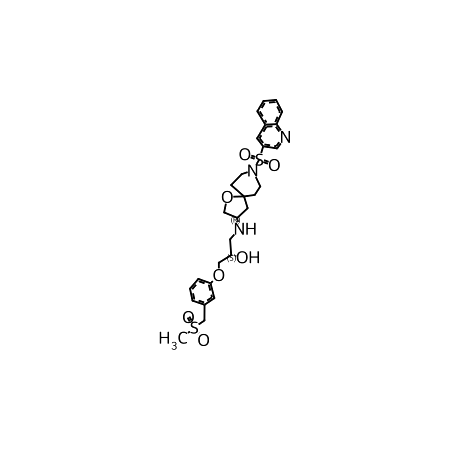 CS(=O)(=O)Cc1cccc(OC[C@@H](O)CN[C@H]2COC3(CCN(S(=O)(=O)c4cnc5ccccc5c4)CC3)C2)c1